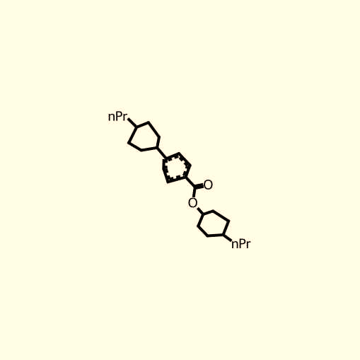 CCCC1CCC(OC(=O)c2ccc(C3CCC(CCC)CC3)cc2)CC1